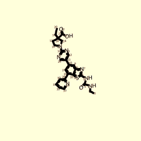 CCNC(=O)Nc1nc2cc(-c3cnc(N4CCC(CC)(C(=O)O)C4)nc3)cc(-c3ccccn3)c2s1